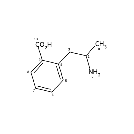 CC(N)Cc1ccccc1C(=O)O